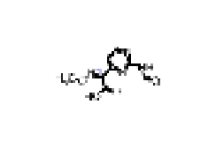 CO/N=C(\C(=O)O)c1ccnc(NC=O)n1